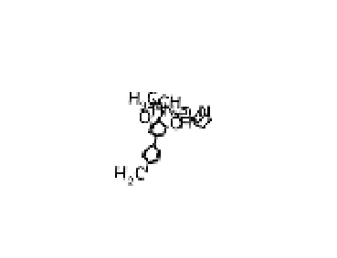 C=Cc1ccc(-c2ccc3c(c2)OCC(C)(C)C3NC(=O)O[C@H]2CN3CCC2CC3)cc1